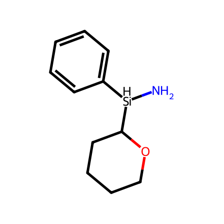 N[SiH](c1ccccc1)C1CCCCO1